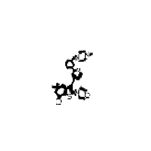 CN1CCN(Cc2cccc(-c3cc(-c4c(N5CCOCC5)sc5c4CC(C)(C)CC5=O)ccn3)c2)CC1